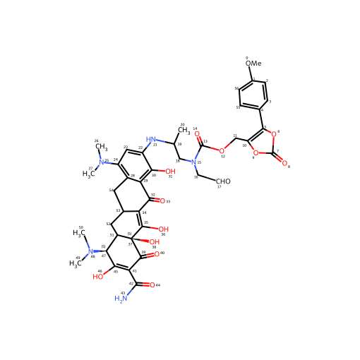 COc1ccc(-c2oc(=O)oc2COC(=O)N(CC=O)CC(C)Nc2cc(N(C)C)c3c(c2O)C(=O)C2=C(O)[C@]4(O)C(=O)C(C(N)=O)=C(O)[C@@H](N(C)C)C4CC2C3)cc1